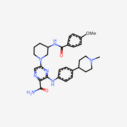 COc1ccc(C(=O)NC2CCCN(c3cnc(C(N)=O)c(Nc4ccc(C5CCN(C)CC5)cc4)n3)C2)cc1